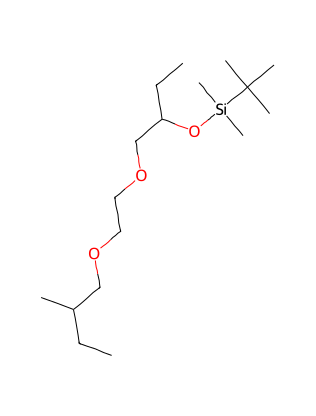 CCC(C)COCCOCC(CC)O[Si](C)(C)C(C)(C)C